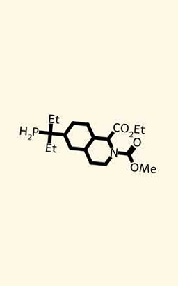 CCOC(=O)C1C2CCC(C(P)(CC)CC)CC2CCN1C(=O)OC